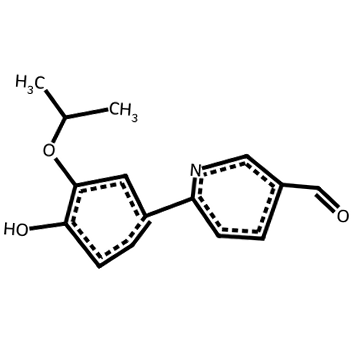 CC(C)Oc1cc(-c2ccc(C=O)cn2)ccc1O